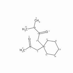 CC(=O)CC1(CC(=O)C(C)C)CCCCC1